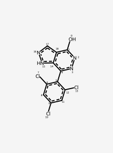 Oc1nnc(-c2c(Cl)cc(Cl)cc2Cl)c2[nH]ncc12